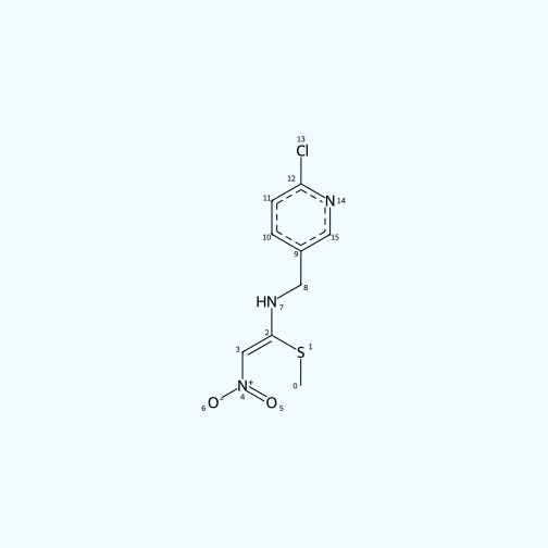 CS/C(=C\[N+](=O)[O-])NCc1ccc(Cl)nc1